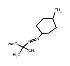 COC(C)(C)N=NC1CCC(C)CC1